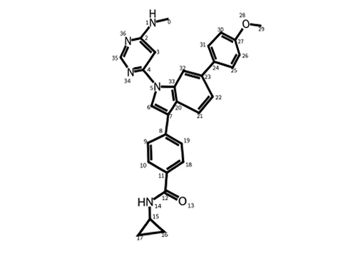 CNc1cc(-n2cc(-c3ccc(C(=O)NC4CC4)cc3)c3ccc(-c4ccc(OC)cc4)cc32)ncn1